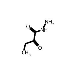 CCC(=O)C(=O)NN